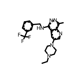 CCN1CCN(c2cnc3c(C)nnc(NCc4cccc(C(F)(F)F)c4)c3c2)CC1